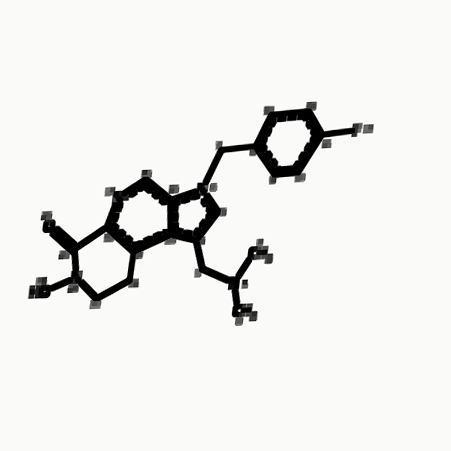 CN(C)Cc1cn(Cc2ccc(F)cc2)c2cnc3c(c12)CCN(O)C3=O